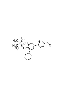 CC(C)(C)[Si](C)(C)Oc1ccc(-c2ccc(C=O)cn2)cc1C1CCCCC1